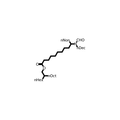 CCCCCCCCCCN(C=O)C(CCCCCCCCC)CCCCCCCCC(=O)OCC(CCCCCC)CCCCCCCC